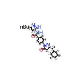 CCCCc1cc(NC(=O)c2ccc(N3N=C(Cc4ccccc4)CC3=O)cc2)[nH]n1